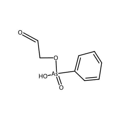 O=CCO[As](=O)(O)c1ccccc1